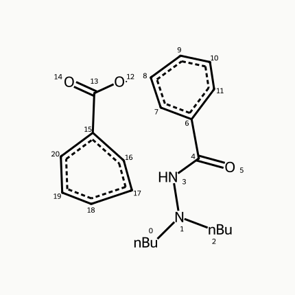 CCCCN(CCCC)NC(=O)c1ccccc1.[O]C(=O)c1ccccc1